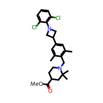 COC(=O)C1CCN(Cc2c(C)cc(C3CN(c4c(Cl)cccc4Cl)C3)cc2C)C(C)(C)C1